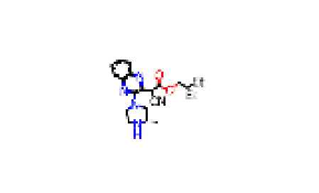 CCC(CC)COC(=O)C(C#N)c1nc2ccccc2nc1N1CCN[C@H](C)C1